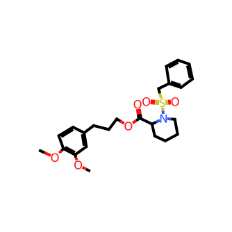 COc1ccc(CCCOC(=O)C2CCCCN2S(=O)(=O)Cc2ccccc2)cc1OC